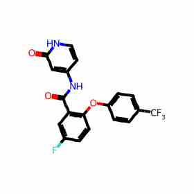 O=C(Nc1cc[nH]c(=O)c1)c1cc(F)ccc1Oc1ccc(C(F)(F)F)cc1